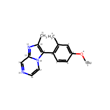 Cc1cc(OC(C)(C)C)ccc1-c1c(C)nc2cnccn12